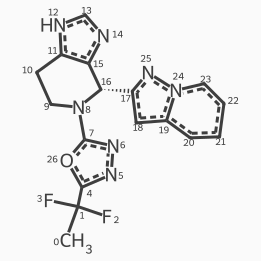 CC(F)(F)c1nnc(N2CCc3[nH]cnc3[C@@H]2c2cc3ccccn3n2)o1